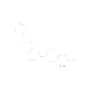 Nc1oc2c(C(=O)Nc3ccccc3)nccc2c1Nc1ccc(F)c(Cl)c1